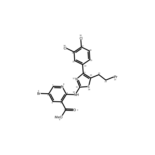 COC(=O)c1cc(Br)cnc1Nc1nc(-c2ccc(Cl)c(Cl)c2)c(CCC(C)C)s1